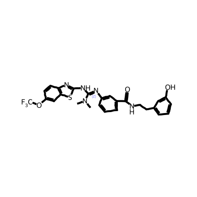 CN(C)/C(=N\c1cccc(C(=O)NCCc2cccc(O)c2)c1)Nc1nc2ccc(OC(F)(F)F)cc2s1